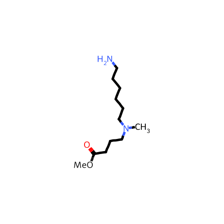 COC(=O)CCCN(C)CCCCCCN